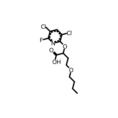 CCCCOCCC(Oc1nc(F)c(Cl)cc1Cl)C(=O)O